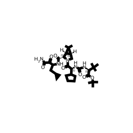 CC(C)(C)OC(=O)[C@@H](NC(=O)N[C@H](C(=O)N1C[C@H]2[C@@H]([C@H]1C(=O)NC(CC1CC1)C(=O)C(N)=O)C2(C)C)C1CCCC1)C(C)(C)C